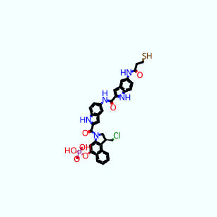 O=C(CCS)Nc1ccc2[nH]c(C(=O)Nc3ccc4[nH]c(C(=O)N5C[C@@H](CCl)c6c5cc(OP(=O)(O)O)c5ccccc65)cc4c3)cc2c1